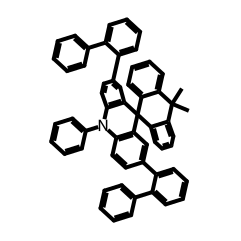 CC1(C)c2ccccc2C2(c3cc(-c4ccccc4-c4ccccc4)ccc3N(c3ccccc3)c3ccc(-c4ccccc4-c4ccccc4)cc32)c2ccccc21